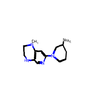 CC(=O)NC1CCCN(c2cc3c(cn2)NCCN3C)C1